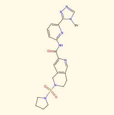 CC(C)n1cnnc1-c1cccc(NC(=O)c2cc3c(cn2)CCN(S(=O)(=O)N2CCCC2)C3)n1